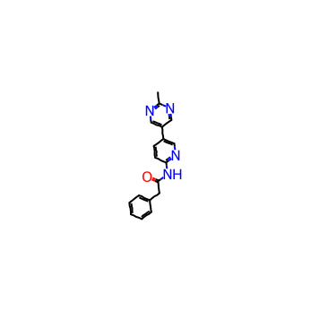 Cc1ncc(-c2ccc(NC(=O)Cc3ccccc3)nc2)cn1